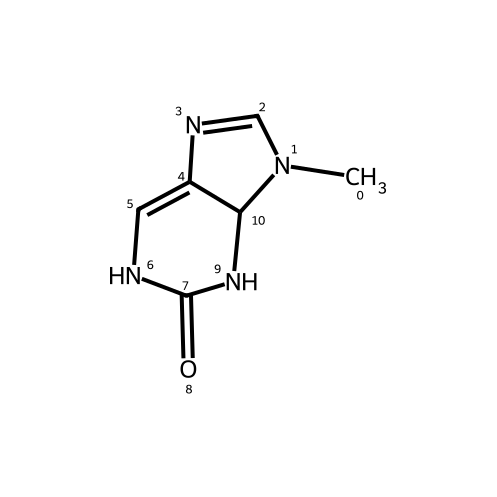 CN1C=NC2=CNC(=O)NC21